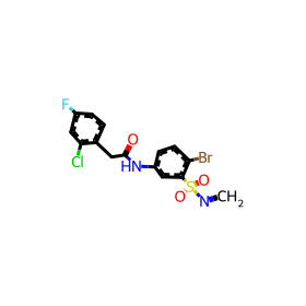 C=NS(=O)(=O)c1cc(NC(=O)Cc2ccc(F)cc2Cl)ccc1Br